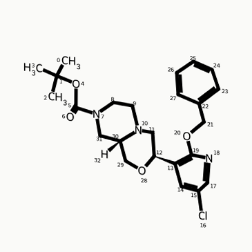 CC(C)(C)OC(=O)N1CCN2C[C@@H](c3cc(Cl)cnc3OCc3ccccc3)OC[C@@H]2C1